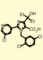 CCC(O)(CC)c1nc(-c2cncc(Cl)c2)n(Cc2cc(Cl)ccc2Cl)c1C(=O)O